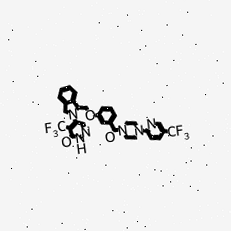 O=C(c1cccc(OCC2c3ccccc3CN2c2cn[nH]c(=O)c2C(F)(F)F)c1)N1CCN(c2ccc(C(F)(F)F)cn2)CC1